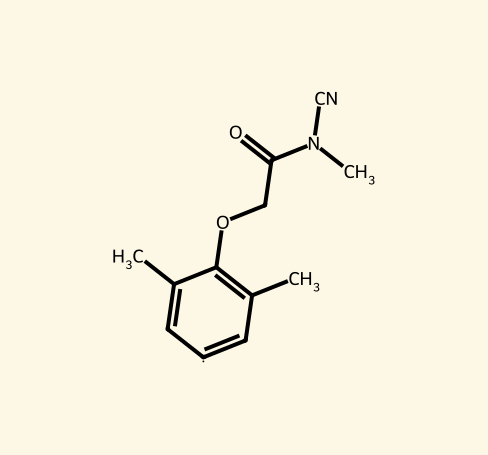 Cc1c[c]cc(C)c1OCC(=O)N(C)C#N